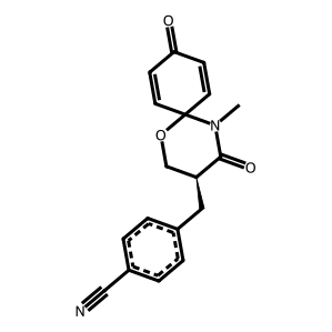 CN1C(=O)[C@@H](Cc2ccc(C#N)cc2)COC12C=CC(=O)C=C2